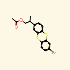 CC(=O)OCC(C)c1ccc2c(c1)Sc1ccc(Br)cc1S2